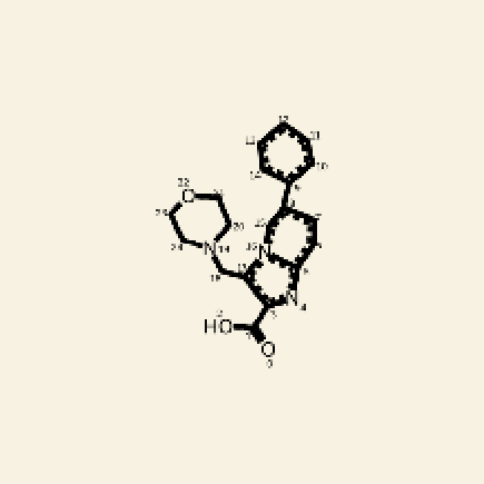 O=C(O)c1nc2ccc(-c3ccccc3)cn2c1CN1CCOCC1